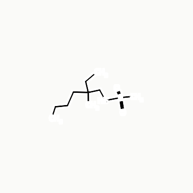 CCCCC(C)(CC)CNS(C)(=O)=O